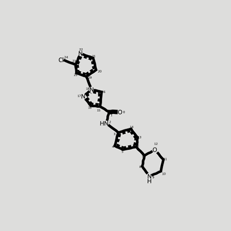 O=C(Nc1ccc(C2CNCCO2)cc1)c1cnn(-c2ccnc(Cl)c2)c1